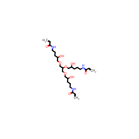 C=CC(=O)NCCCC(O)COCC(COCC(O)CCCNC(=O)C=C)OCC(O)CCCNC(=O)C=C